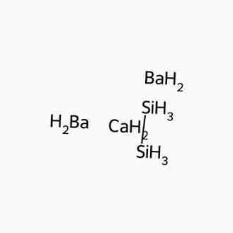 [BaH2].[BaH2].[CaH2].[SiH3][SiH3]